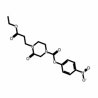 CCOC(=O)CCN1CCN(C(=O)Oc2ccc([N+](=O)[O-])cc2)CC1=O